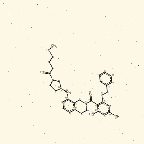 COCCCC(=O)N1CC[C@H](Nc2cccc3c2CN(C(=O)c2c(O)cc(O)cc2OCc2ccccc2)CC3)C1